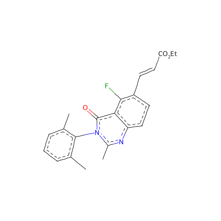 CCOC(=O)C=Cc1ccc2nc(C)n(-c3c(C)cccc3C)c(=O)c2c1F